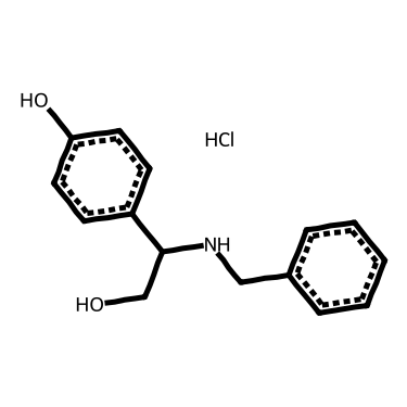 Cl.OCC(NCc1ccccc1)c1ccc(O)cc1